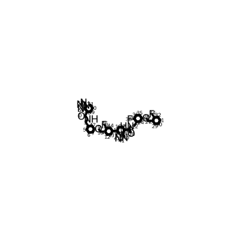 O=C(NCc1cccc(OCc2ccc(-c3ccc(C(=O)NCc4cc(OCc5ccccc5F)ccc4F)c4ncnn34)cc2F)c1)c1cccn2nnnc12